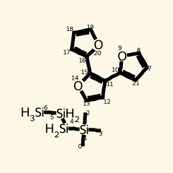 C[Si](C)(C)[SiH2][SiH2][SiH3].c1coc(-c2ccoc2-c2ccco2)c1